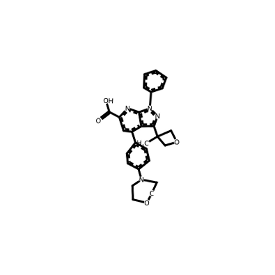 CC1(c2nn(-c3ccccc3)c3nc(C(=O)O)cc(-c4ccc(N5CCOCC5)cc4)c23)COC1